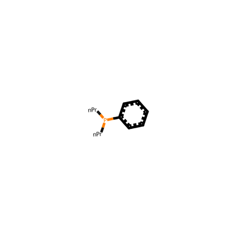 CCCP(CCC)c1ccccc1